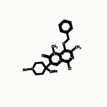 COC1(c2cc3c(Cl)nc(C)c(OCc4ccccc4)c3n(C)c2=O)CCN(C(C)=O)CC1